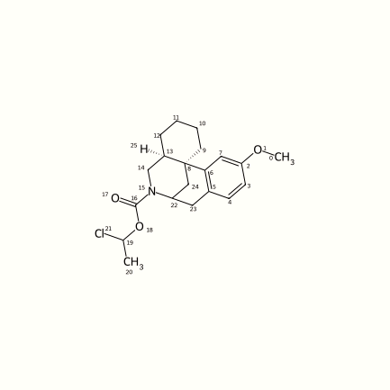 COc1ccc2c(c1)[C@]13CCCC[C@@H]1CN(C(=O)OC(C)Cl)C(C2)C3